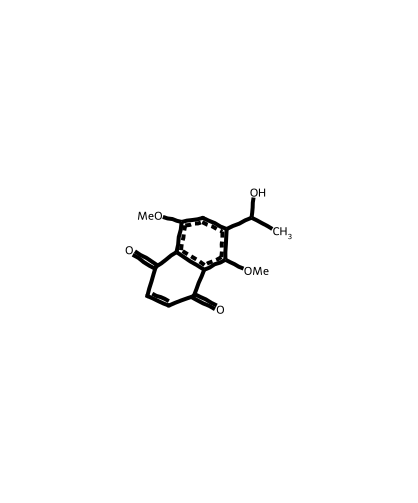 COc1cc(C(C)O)c(OC)c2c1C(=O)C=CC2=O